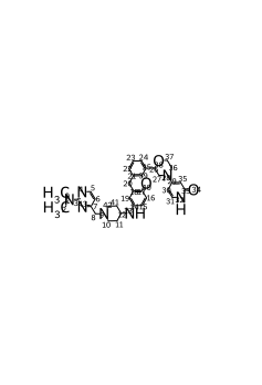 CN(C)c1nccc(CN2CCC(Nc3ccc4c(c3)Cc3cccc(C5CN(c6cc[nH]c(=O)c6)CCO5)c3O4)CC2)n1